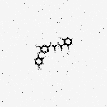 N#Cc1cnc(Oc2ccc(NC(=O)NC(=O)c3c(F)cccc3F)cc2C(F)(F)F)c(Cl)c1